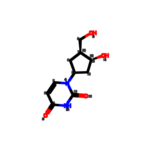 O=c1ccn(C2C[C@@H](CO)[C@H](O)C2)c(=O)[nH]1